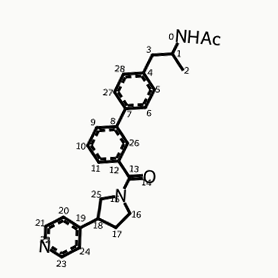 CC(=O)NC(C)Cc1ccc(-c2cccc(C(=O)N3CCC(c4ccncc4)C3)c2)cc1